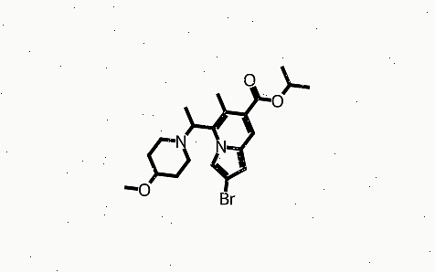 COC1CCN(C(C)c2c(C)c(C(=O)OC(C)C)cc3cc(Br)cn23)CC1